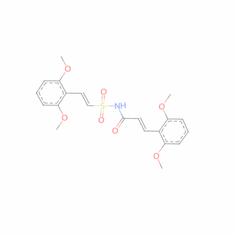 COc1cccc(OC)c1C=CC(=O)NS(=O)(=O)/C=C/c1c(OC)cccc1OC